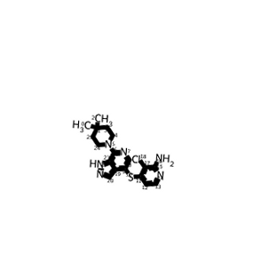 CC1(C)CCN(c2ncc(Sc3ccnc(N)c3Cl)c3cn[nH]c23)CC1